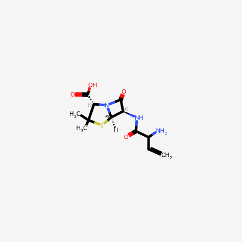 C=CC(N)C(=O)N[C@@H]1C(=O)N2[C@@H]1SC(C)(C)[C@@H]2C(=O)O